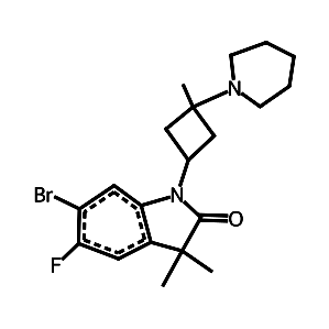 CC1(C)C(=O)N(C2CC(C)(N3CCCCC3)C2)c2cc(Br)c(F)cc21